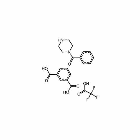 O=C(O)C(F)(F)F.O=C(O)c1cccc(C(=O)O)c1.O=C(c1ccccc1)N1CCNCC1